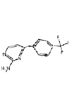 Nc1nccc(-c2ccc(C(F)(F)F)cc2)n1